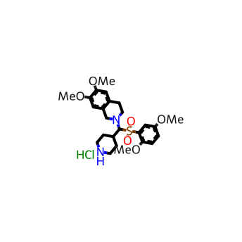 COc1ccc(OC)c(S(=O)(=O)C(C2CCNCC2)N2CCc3cc(OC)c(OC)cc3C2)c1.Cl